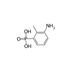 Cc1c(N)cccc1P(=O)(O)O